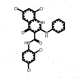 O=C(Nc1ccc(Cl)cc1Cl)c1c(Nc2ccccc2)[nH]c2c(Cl)cc(Cl)cc2c1=O